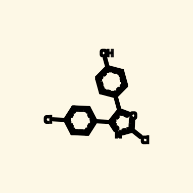 Oc1ccc(-c2oc(Cl)nc2-c2ccc(Cl)cc2)cc1